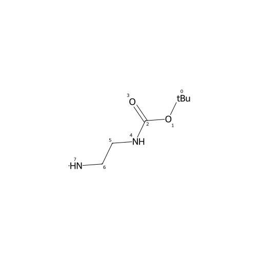 CC(C)(C)OC(=O)NCC[NH]